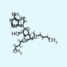 CCCCOC[C@@]1(C(F)F)O[C@@H](n2cnc3c(N)ncnc32)[C@H](O)[C@@H]1OCCCC